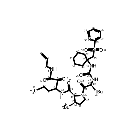 C=CCNC(=O)C(=O)C(CCC(F)(F)F)NC(=O)[C@@H]1[C@H](C(C)(C)C)CCN1C(=O)[C@@H](NC(=O)NC1(CS(=O)(=O)c2ccccn2)CCCCC1)C(C)(C)C